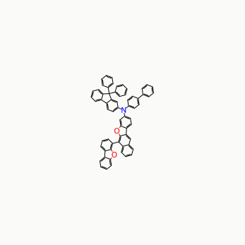 c1ccc(-c2ccc(N(c3ccc4c(c3)C(c3ccccc3)(c3ccccc3)c3ccccc3-4)c3ccc4c(c3)oc3c(-c5cccc6c5oc5ccccc56)c5ccccc5cc34)cc2)cc1